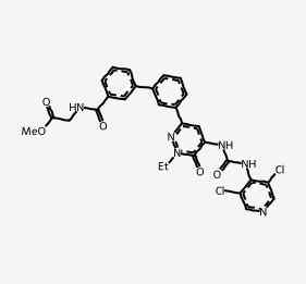 CCn1nc(-c2cccc(-c3cccc(C(=O)NCC(=O)OC)c3)c2)cc(NC(=O)Nc2c(Cl)cncc2Cl)c1=O